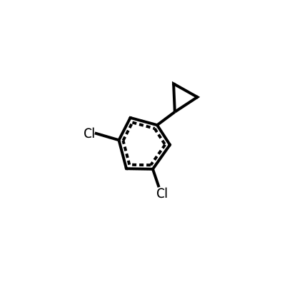 Clc1cc(Cl)cc(C2CC2)c1